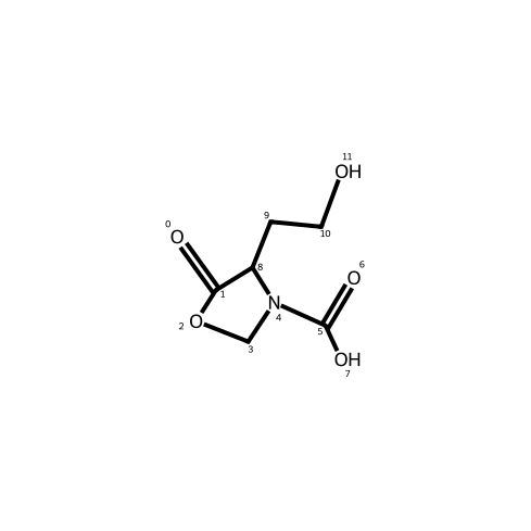 O=C1OCN(C(=O)O)C1CCO